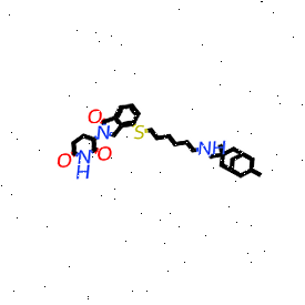 CC1CC2CC(C1)CC(C)(CNCCCCCCSc1cccc3c1CN(C1CCC(=O)NC1=O)C3=O)C2